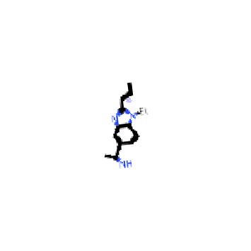 C/C=C/c1nc2cc(C(C)=N)ccc2n1CC